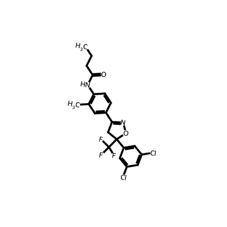 CCCC(=O)Nc1ccc(C2=NOC(c3cc(Cl)cc(Cl)c3)(C(F)(F)F)C2)cc1C